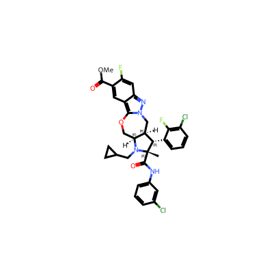 COC(=O)c1cc2c3n(nc2cc1F)C[C@@H]1[C@H](CO3)N(CC2CC2)[C@@](C)(C(=O)Nc2cccc(Cl)c2)[C@H]1c1cccc(Cl)c1F